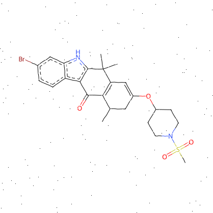 CC1CC(OC2CCN(S(C)(=O)=O)CC2)=CC2=C1C(=O)c1c([nH]c3cc(Br)ccc13)C2(C)C